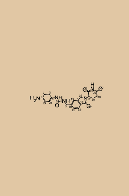 Nc1ccc(NC(=O)NCc2ccc3c(c2)CN(C2CCC(=O)NC2=O)C3=O)cc1